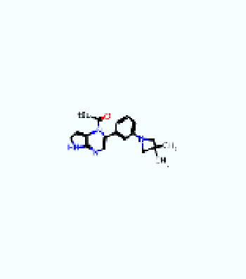 CC1(C)CN(c2cccc(C3=CN=C4NCC=C4N3C(=O)C(C)(C)C)c2)C1